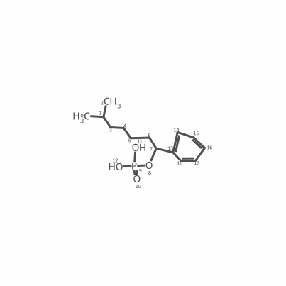 CC(C)CCCCC(OP(=O)(O)O)c1ccccc1